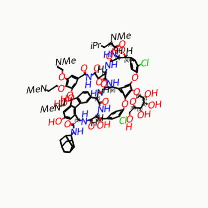 CNCCOc1cc(C(=O)NC(=O)C[C@@H]2NC(=O)[C@H](NC(=O)[C@@H](CC(C)C)NC)[C@H](O)c3ccc(c(Cl)c3)Oc3cc4cc(c3O[C@@H]3O[C@H](CO)[C@@H](O)[C@H](O)[C@H]3O)Oc3ccc(cc3Cl)[C@@H](O)[C@@H]3NC(=O)[C@H](NC(=O)[C@@H]4NC2=O)c2ccc4c(c2)-c2c(cc(O)cc2C4(O)O)[C@@H](C(=O)NC2C4CC5CC(C4)CC2C5)NC3=O)cc(OCCNC)c1OCCNC